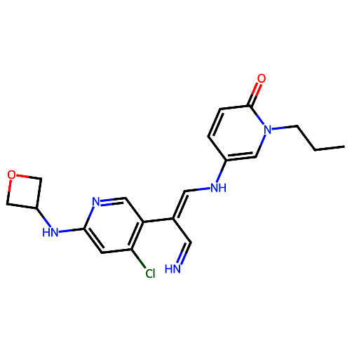 CCCn1cc(N/C=C(\C=N)c2cnc(NC3COC3)cc2Cl)ccc1=O